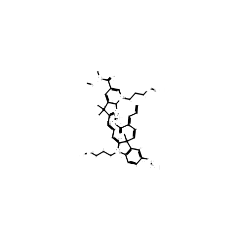 C=C/C=C(\C=C/C1(C)/C(=C\C=C\C2=NC3C(=CC(C(=O)N(C)OC)=CN3CCCSO)C2(C)C)N(CCCSO)c2ccc(SO)cc21)C(=O)NN